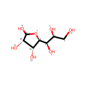 OC[C@H](O)[C@@H](O)[C@@H]1OC(O)[C@@H](O)[C@H]1O